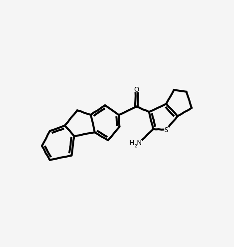 Nc1sc2c(c1C(=O)c1ccc3c(c1)Cc1ccccc1-3)CCC2